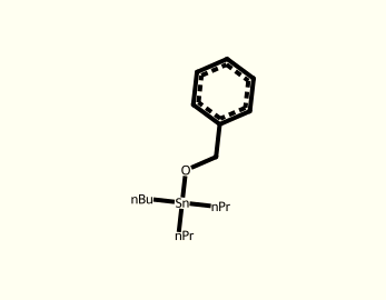 CCC[CH2][Sn]([CH2]CC)([CH2]CC)[O]Cc1ccccc1